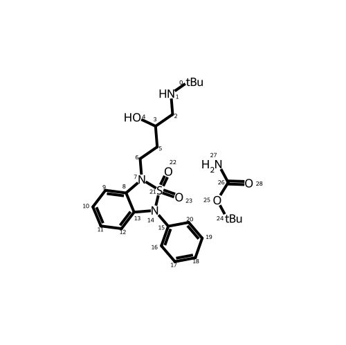 CC(C)(C)NCC(O)CCN1c2ccccc2N(c2ccccc2)S1(=O)=O.CC(C)(C)OC(N)=O